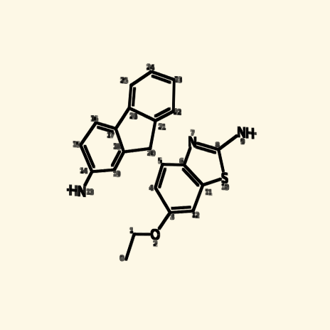 CCOc1ccc2nc([NH])sc2c1.[NH]c1ccc2c(c1)Cc1ccccc1-2